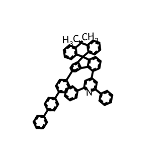 CC1(C)c2ccccc2C2(c3ccc(-c4ccc(-c5ccc(-c6ccccc6)cc5)cc4)cc3-c3c(-c4cc(-c5ccccc5)nc(-c5ccccc5)c4)cccc32)c2ccccc21